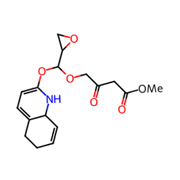 COC(=O)CC(=O)COC(OC1=CC=C2CCC=CC2N1)C1CO1